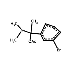 CC(=O)OC(C)(c1cccc(Br)c1)N(C)C